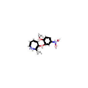 COc1ccc([N+](=O)[O-])cc1OC1=C(C)NC=CC=C1